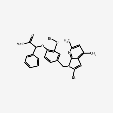 CCOc1cc(Cn2c(CC)nc3c(C)cc(C)nc32)ccc1OC(C(=O)OC)c1ccccc1